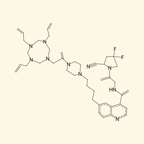 C=CCN1CN(CC=C)CN(CC(=C)N2CCN(CCCCc3ccc4nccc(C(=C)NCC(=C)N5CC(F)(F)CC5C#N)c4c3)CC2)CN(CC=C)C1